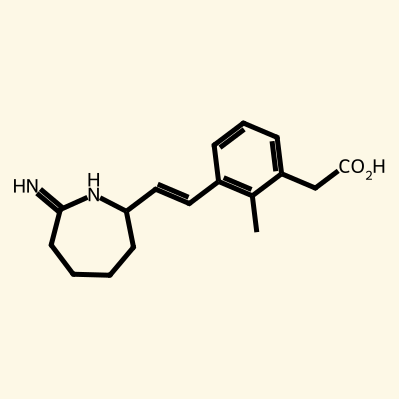 Cc1c(/C=C/C2CCCCC(=N)N2)cccc1CC(=O)O